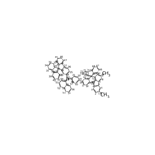 Cc1ccc2c(c1)c1cc(C)cc3c1n2-c1ccc(-c2ccc(N(c4ccc5c(c4)C(c4ccccc4)(c4ccccc4)c4ccccc4-5)c4cccc5ccccc45)cc2)cc1C31c2ccccc2-c2ccccc21